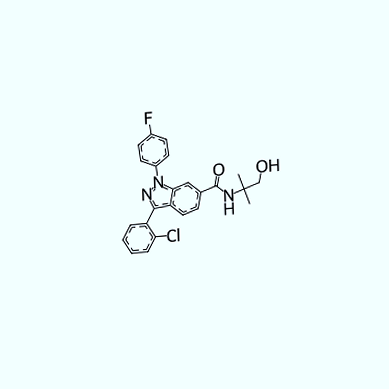 CC(C)(CO)NC(=O)c1ccc2c(-c3ccccc3Cl)nn(-c3ccc(F)cc3)c2c1